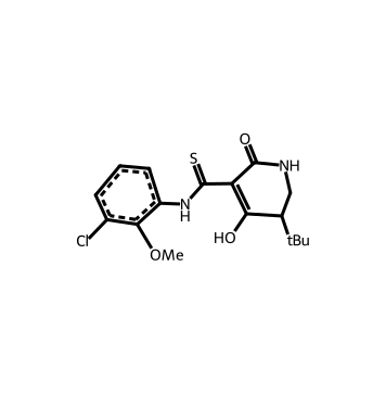 COc1c(Cl)cccc1NC(=S)C1=C(O)C(C(C)(C)C)CNC1=O